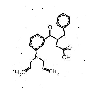 C=CCN(CC=C)c1cccc(C(=O)C(CC(=O)O)Cc2ccccc2)c1